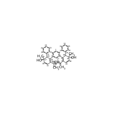 CC(C)C1=C(c2cccc(C3=C(C(C)C)C=CC(C)(O)C3c3ccccc3)c2)C(c2ccccc2)C(C)(O)C=C1